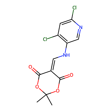 CC1(C)OC(=O)C(=CNc2cnc(Cl)cc2Cl)C(=O)O1